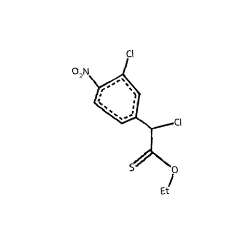 CCOC(=S)C(Cl)c1ccc([N+](=O)[O-])c(Cl)c1